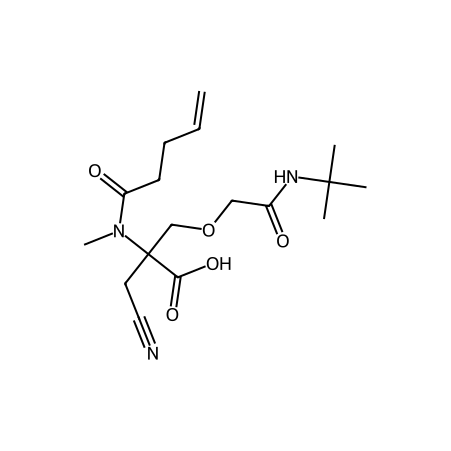 C=CCCC(=O)N(C)C(CC#N)(COCC(=O)NC(C)(C)C)C(=O)O